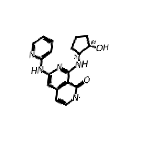 O=C1[N]C=Cc2cc(Nc3ccccn3)nc(N[C@H]3CCC[C@H]3O)c21